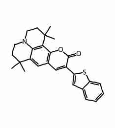 CC1(C)CCN2CCC(C)(C)c3c2c1cc1cc(-c2cc4ccccc4s2)c(=O)oc31